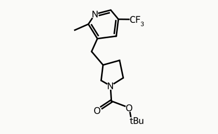 Cc1ncc(C(F)(F)F)cc1CC1CCN(C(=O)OC(C)(C)C)C1